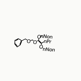 CCCCCCCCCOC(CCC)=C(OCCCCCCCCC)OCOCc1ccccc1